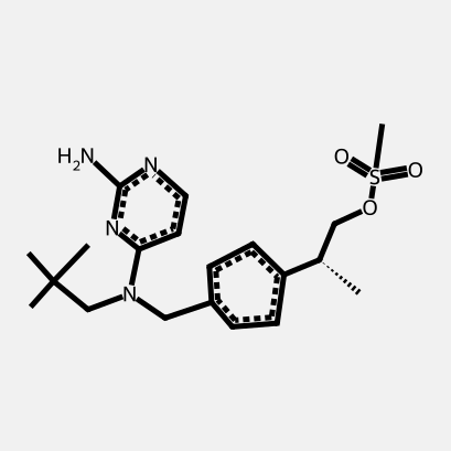 C[C@@H](COS(C)(=O)=O)c1ccc(CN(CC(C)(C)C)c2ccnc(N)n2)cc1